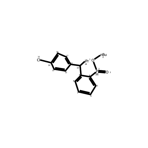 CCCCO[PH](=O)c1ccccc1C(c1ccc(Cl)cc1)C(C)C